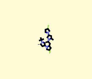 CC1CC(N2CCC(F)C2)CN1C(C)CC1CC(F)CN1C1C[C@H](C)N(C(C)(C)C)C1